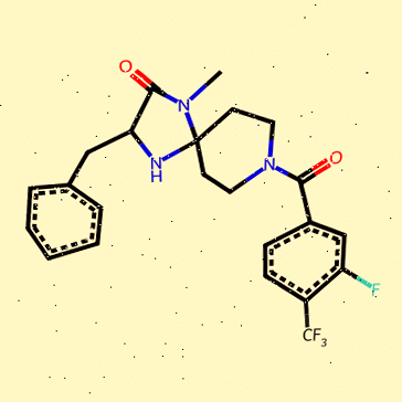 CN1C(=O)C(Cc2ccccc2)NC12CCN(C(=O)c1ccc(C(F)(F)F)c(F)c1)CC2